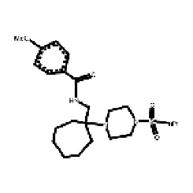 CCCS(=O)(=O)N1CCN(C2(CNC(=O)c3ccc(OC)cc3)CCCCCC2)CC1